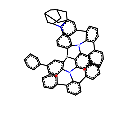 CC(C)(C)c1cc2c3c(c1)N(c1c(-c4ccccc4)cccc1-c1ccccc1)c1cc(N4C5CC6CC(C5)CC4C6)ccc1B3c1cc(-c3ccccc3)ccc1N2c1c(-c2ccccc2)cccc1-c1ccccc1